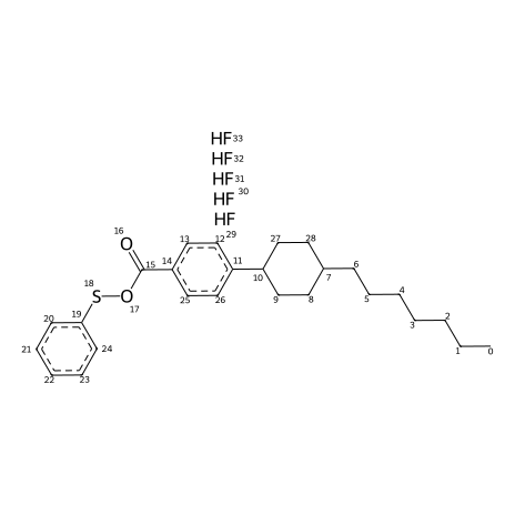 CCCCCCCC1CCC(c2ccc(C(=O)OSc3ccccc3)cc2)CC1.F.F.F.F.F